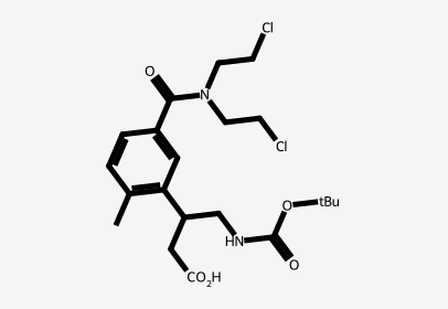 Cc1ccc(C(=O)N(CCCl)CCCl)cc1C(CNC(=O)OC(C)(C)C)CC(=O)O